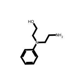 NCCN(CCO)c1ccccc1